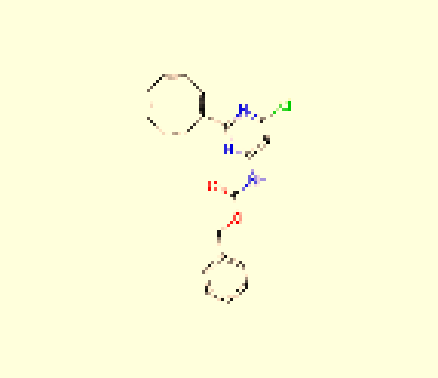 O=C(Nc1cc(Cl)nc(C2=C/C=C\C=C/C=C\2)n1)OCc1ccccc1